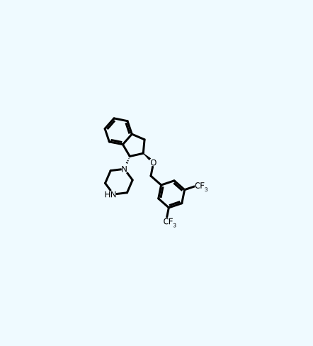 FC(F)(F)c1cc(CO[C@@H]2Cc3ccccc3[C@H]2N2CCNCC2)cc(C(F)(F)F)c1